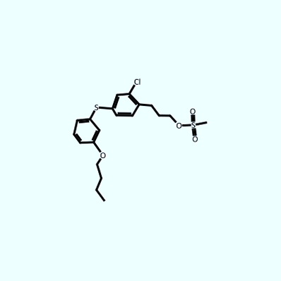 CCCCOc1cccc(Sc2ccc(CCCOS(C)(=O)=O)c(Cl)c2)c1